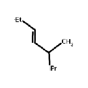 C[CH]C=CC(C)C(C)C